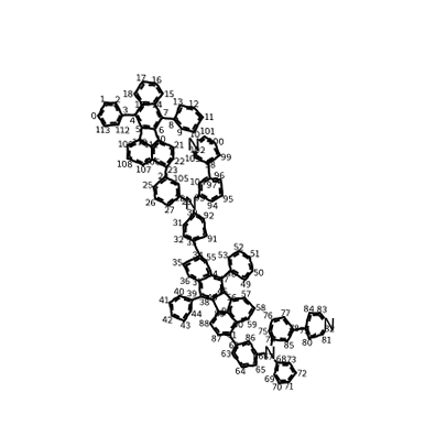 c1ccc(-c2c3c(c(-c4ccccc4)c4ccccc24)-c2ccc(-c4cccc(N(c5ccc(-c6ccc7c(-c8ccccc8)c8c(c(-c9ccccc9)c7c6)-c6cccc7c(-c9cccc(N(c%10ccccc%10)c%10cccc(-c%11ccncc%11)c%10)c9)ccc-8c67)cc5)c5cccc(-c6cccnc6)c5)c4)c4cccc-3c24)cc1